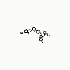 CCn1cncc1Cc1c(CN2CCC(c3cccc(OCc4ccc(C#N)cc4F)n3)CC2)nn2ccc(C)cc12